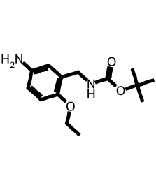 CCOc1ccc(N)cc1CNC(=O)OC(C)(C)C